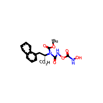 CC(C)(C)OC(=O)N(C(=O)NOC(=O)NO)[C@@H](Cc1cccc2ccccc12)C(=O)O